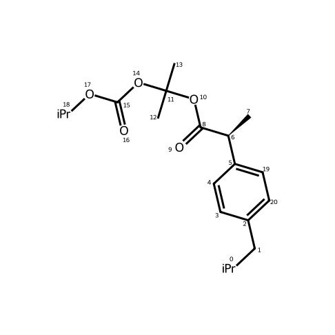 CC(C)Cc1ccc([C@H](C)C(=O)OC(C)(C)OC(=O)OC(C)C)cc1